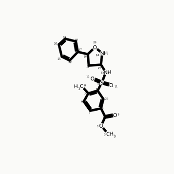 COC(=O)c1ccc(C)c(S(=O)(=O)NC2CC(c3ccccc3)ON2)c1